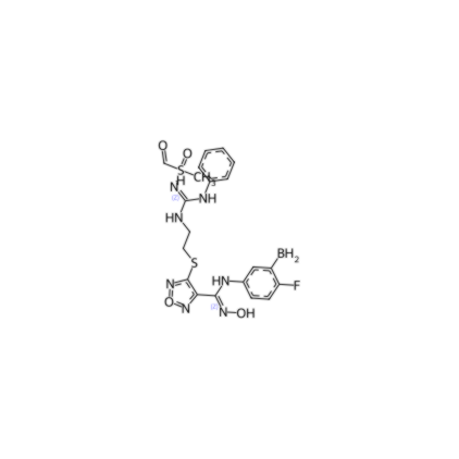 Bc1cc(N/C(=N\O)c2nonc2SCCN/C(=N/[SH](C)(=O)C=O)Nc2ccccc2)ccc1F